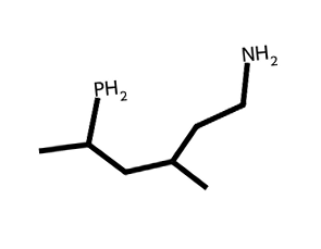 CC(P)CC(C)CCN